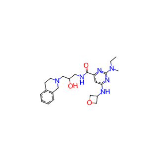 CCN(C)c1nc(NC2COC2)cc(C(=O)NCC(O)CN2CCc3ccccc3C2)n1